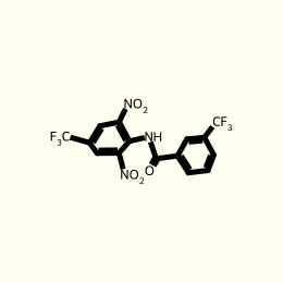 O=C(Nc1c([N+](=O)[O-])cc(C(F)(F)F)cc1[N+](=O)[O-])c1cccc(C(F)(F)F)c1